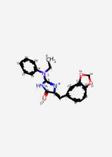 CCN(C1=NC(=Cc2ccc3c(c2)OCO3)C(=O)N1)c1ccccc1